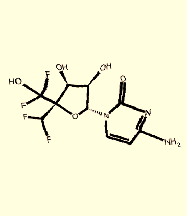 Nc1ccn([C@@H]2O[C@](C(F)F)(C(O)(F)F)[C@@H](O)[C@H]2O)c(=O)n1